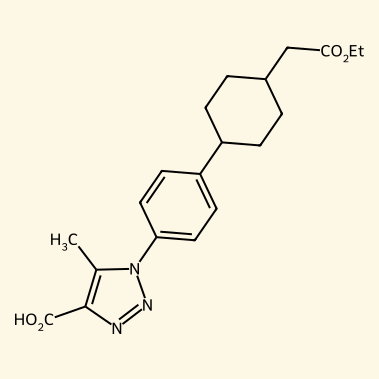 CCOC(=O)CC1CCC(c2ccc(-n3nnc(C(=O)O)c3C)cc2)CC1